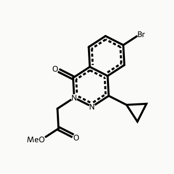 COC(=O)Cn1nc(C2CC2)c2cc(Br)ccc2c1=O